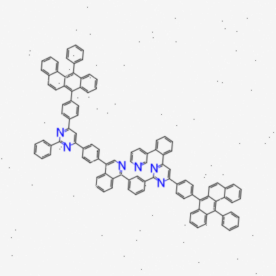 c1ccc(-c2nc(-c3ccc(-c4cnc(-c5cccc(-c6nc(-c7ccc(-c8c9ccccc9c(-c9ccccc9)c9c8ccc8ccccc89)cc7)cc(-c7ccccc7-c7cccnc7)n6)c5)c5ccccc45)cc3)cc(-c3ccc(-c4c5ccccc5c(-c5ccccc5)c5c4ccc4ccccc45)cc3)n2)cc1